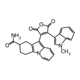 Cn1cc(C2=C(c3c4c(n5ccccc35)CCC(C(N)=O)C4)C(=O)OC2=O)c2ccccc21